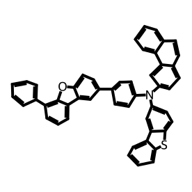 c1ccc(-c2cccc3c2oc2ccc(-c4ccc(N(c5ccc6ccc7ccccc7c6c5)c5ccc6sc7ccccc7c6c5)cc4)cc23)cc1